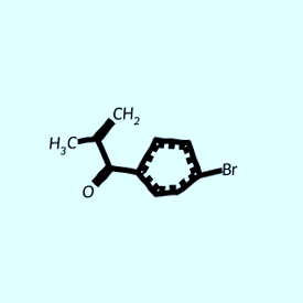 C=C(C)C(=O)c1ccc(Br)cc1